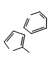 Cl.Oc1ccc[nH]1.c1ccncc1